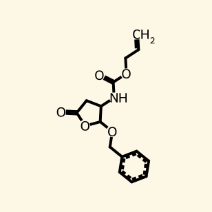 C=CCOC(=O)NC1CC(=O)OC1OCc1ccccc1